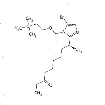 CCC(=O)CCCCC[C@H](N)c1ncc(Br)n1COCC[Si](C)(C)C